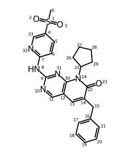 CS(=O)(=O)c1ccc(Nc2ncc3cc(Cc4ccccc4)c(=O)n(C4CCCC4)c3n2)nc1